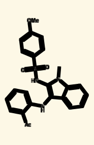 COc1ccc(S(=O)(=O)Nc2c(Nc3ccccc3C(C)=O)c3ccccc3n2C)cc1